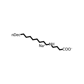 CCCCCCCCCCCCCCCCCCNCCCC(=O)[O-].[Na+]